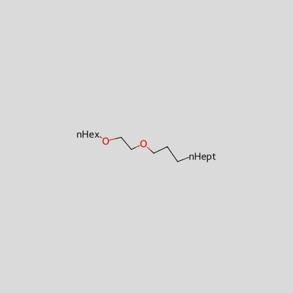 CCCCCCCCCCOCCOCCCCCC